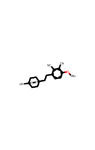 CCCCOc1ccc(CCC23CCC(CCC)(CC2)CC3)c(C#N)c1C#N